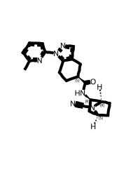 Cc1cccc(-n2ncc3c2CC[C@H](C(=O)N[C@@H]2C[C@@H]4CC[C@H]2N4C#N)C3)n1